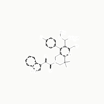 CC(C)c1nc2c(c(-c3ccc(F)cc3)c1C(OC(C)(C)C)C(=O)O)CN(C(=O)C(=O)c1c[nH]c3ccccc13)CC2(C)C